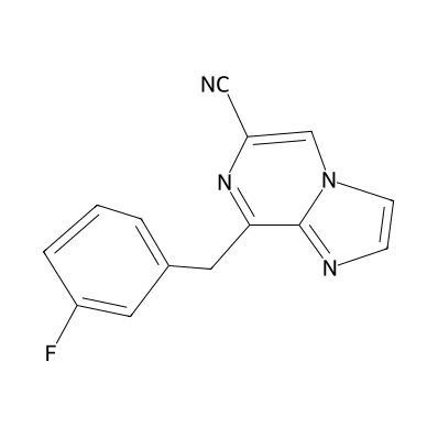 N#Cc1cn2ccnc2c(Cc2cccc(F)c2)n1